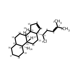 CC(C)=CCC(Cl)[C@@]12C=CC[C@H]1[C@@H]1CCC3CCCC[C@@H]3[C@H]1CC2